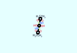 CC1(C)CC(=O)C(=C2Nc3c(O)c4c(c(O)c3S2)NC(=C2C(=O)CC(C)(C)CC2=O)S4)C(=O)C1